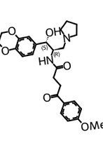 COc1ccc(C(=O)CCC(=O)N[C@H](CN2CCCC2)[C@@H](O)c2ccc3c(c2)OCCO3)cc1